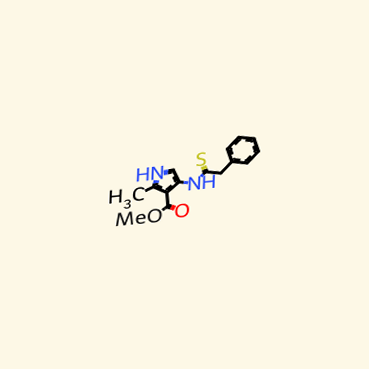 COC(=O)c1c(NC(=S)Cc2ccccc2)c[nH]c1C